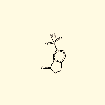 NS(=O)(=O)c1ccc2c(c1)C(=O)CC2